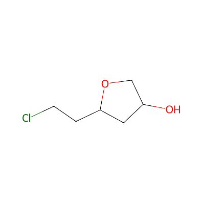 OC1COC(CCCl)C1